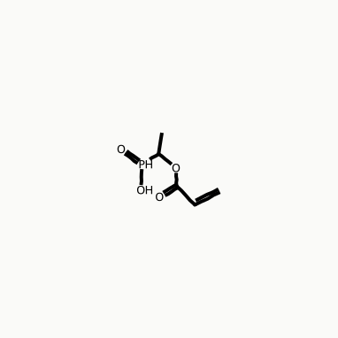 C=CC(=O)OC(C)[PH](=O)O